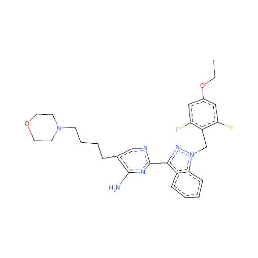 CCOc1cc(F)c(Cn2nc(-c3ncc(CCCCN4CCOCC4)c(N)n3)c3ccccc32)c(F)c1